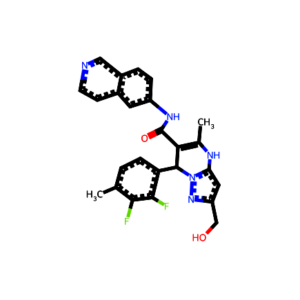 CC1=C(C(=O)Nc2ccc3cnccc3c2)C(c2ccc(C)c(F)c2F)n2nc(CO)cc2N1